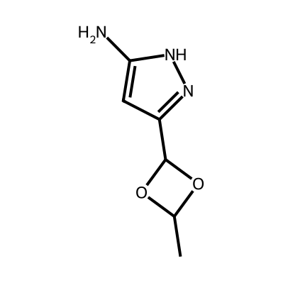 CC1OC(c2cc(N)[nH]n2)O1